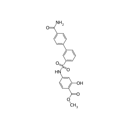 COC(=O)c1ccc(NS(=O)(=O)c2cccc(-c3ccc(C(N)=O)cc3)c2)cc1O